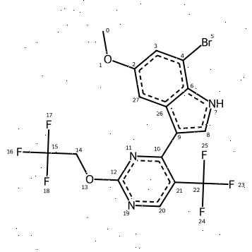 COc1cc(Br)c2[nH]cc(-c3nc(OCC(F)(F)F)ncc3C(F)(F)F)c2c1